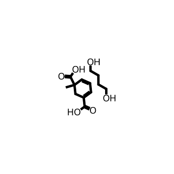 CC1(C(=O)O)C=CC=C(C(=O)O)C1.OCCCCO